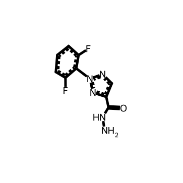 NNC(=O)c1cnn(-c2c(F)cccc2F)n1